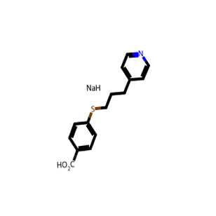 O=C(O)c1ccc(SCCCc2ccncc2)cc1.[NaH]